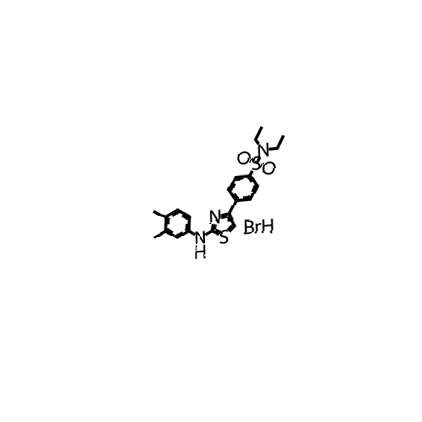 Br.CCN(CC)S(=O)(=O)c1ccc(-c2csc(Nc3ccc(C)c(C)c3)n2)cc1